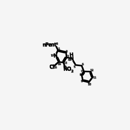 CCCCCc1cc(NCCc2ccccc2)c([N+](=O)[O-])c(Cl)n1